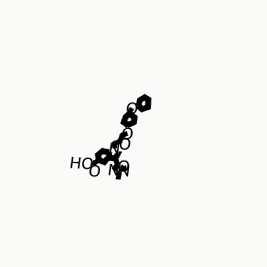 Cc1noc(-c2cn(CC(=O)COc3ccc(Oc4ccccc4)cc3)c3ccc(C(=O)O)cc23)n1